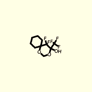 OC1(C(F)(F)F)OCOC2(CCCCC2)C1(F)F